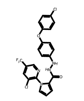 O=C(NNc1ccc(Oc2ccc(Cl)cc2)cc1)c1cccn1-c1ncc(C(F)(F)F)cc1Cl